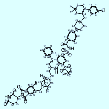 CC1(C)CCC(c2ccc(Cl)cc2)=C(CN2CCN(c3ccc(C(=O)NS(=O)(=O)c4ccc(NC(CCN5C[C@H]6C[C@@H]5CN6Cc5cc6c(cc5F)C(=O)N(C5CCC(=O)NC5=O)C6=O)CSc5ccccc5)c(S(=O)(=O)C(F)(F)F)c4)cc3)CC2)C1